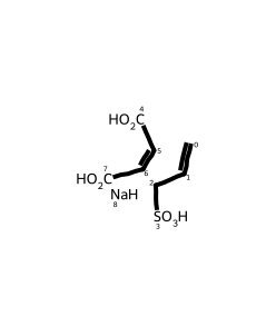 C=CCS(=O)(=O)O.O=C(O)/C=C\C(=O)O.[NaH]